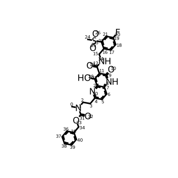 CN(CCc1ccc2[nH]c(=O)c(C(=O)NCc3ccc(F)cc3S(C)(=O)=O)c(O)c2n1)C(=O)OCc1ccccc1